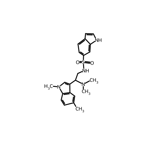 Cc1ccc2c(c1)c(C(CNS(=O)(=O)c1ccc3cc[nH]c3c1)N(C)C)cn2C